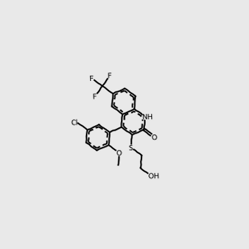 COc1ccc(Cl)cc1-c1c(SCCO)c(=O)[nH]c2ccc(C(F)(F)F)cc12